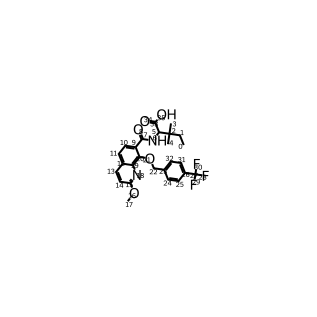 CCC(C)(C)C(NC(=O)c1ccc2ccc(OC)nc2c1OCc1ccc(C(F)(F)F)cc1)C(=O)O